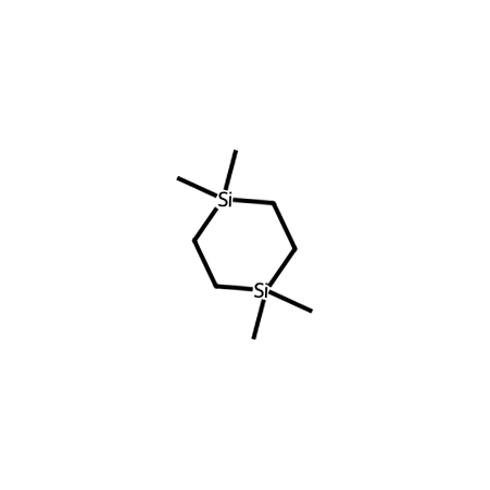 C[Si]1(C)CC[Si](C)(C)CC1